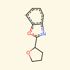 [c]1cccc2nc(C3CCCO3)oc12